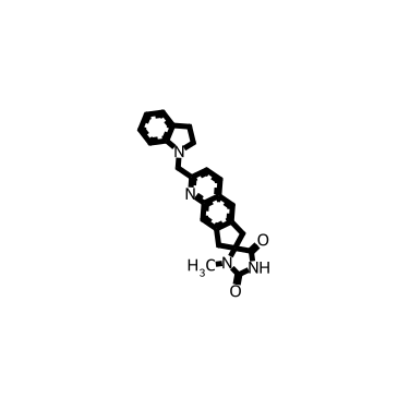 CN1C(=O)NC(=O)C12Cc1cc3ccc(CN4CCc5ccccc54)nc3cc1C2